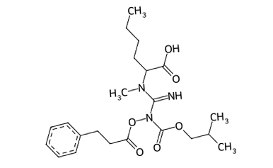 CCCCC(C(=O)O)N(C)C(=N)N(OC(=O)CCc1ccccc1)C(=O)OCC(C)C